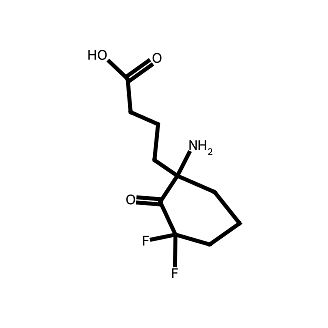 NC1(CCCC(=O)O)CCCC(F)(F)C1=O